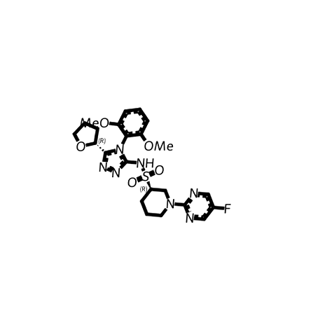 COc1cccc(OC)c1-n1c(NS(=O)(=O)[C@@H]2CCCN(c3ncc(F)cn3)C2)nnc1[C@H]1CCCO1